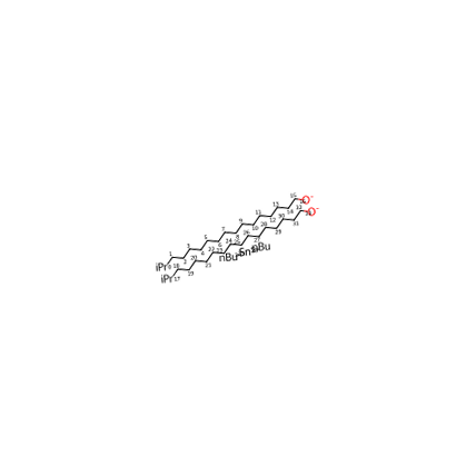 CC(C)CCCCCCCCCCCCCCC[O-].CC(C)CCCCCCCCCCCCCCC[O-].CCC[CH2][Sn+2][CH2]CCC